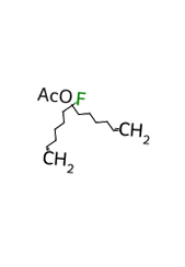 C=CCCCCC(F)(CCCCC=C)OC(C)=O